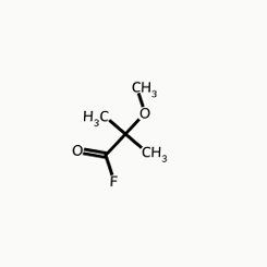 COC(C)(C)C(=O)F